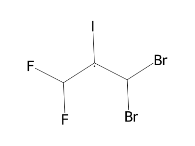 FC(F)[C](I)C(Br)Br